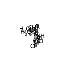 CC(C)(C)OC(=O)N1C[C@H](NS(=O)(=O)c2ccc(Cl)cc2Cl)C[C@H]1NC=O